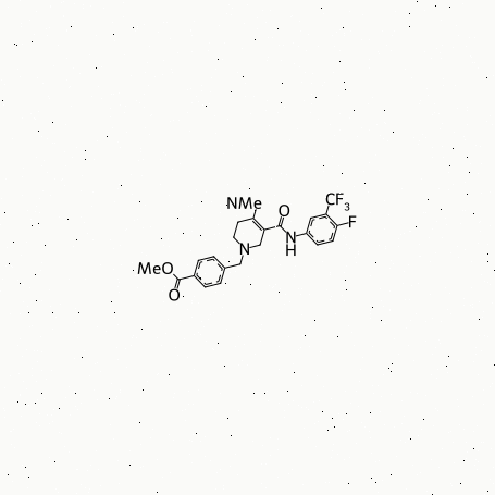 CNC1=C(C(=O)Nc2ccc(F)c(C(F)(F)F)c2)CN(Cc2ccc(C(=O)OC)cc2)CC1